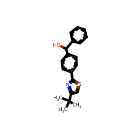 CC(C)(C)c1csc(-c2ccc(C(O)c3ccccc3)cc2)n1